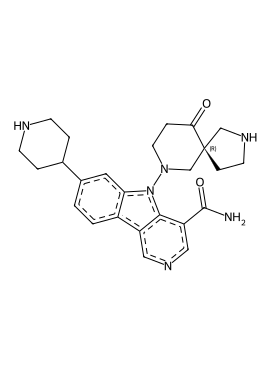 NC(=O)c1cncc2c3ccc(C4CCNCC4)cc3n(N3CCC(=O)[C@@]4(CCNC4)C3)c12